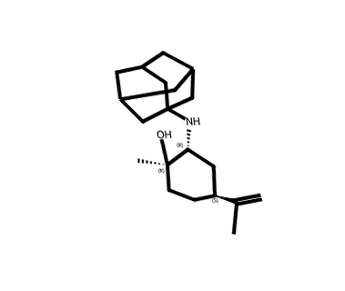 C=C(C)[C@H]1CC[C@@](C)(O)[C@H](NC23CC4CC(CC(C4)C2)C3)C1